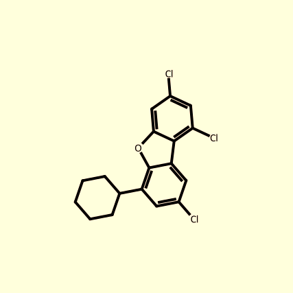 Clc1cc(Cl)c2c(c1)oc1c(C3CCCCC3)cc(Cl)cc12